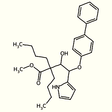 CCCCC(CCCC)(C(=O)OC)C(O)C(Oc1ccc(-c2ccccc2)cc1)c1ccc[nH]1